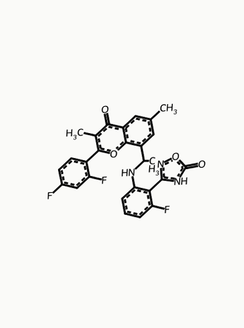 Cc1cc(C(C)Nc2cccc(F)c2-c2noc(=O)[nH]2)c2oc(-c3ccc(F)cc3F)c(C)c(=O)c2c1